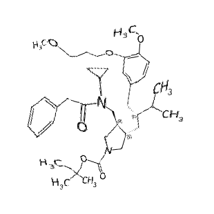 COCCCOc1cc(C[C@@H](C[C@@H]2CN(C(=O)OC(C)(C)C)C[C@H]2CN(C(=O)Cc2ccccc2)C2CC2)C(C)C)ccc1OC